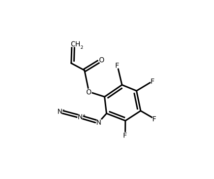 C=CC(=O)Oc1c(F)c(F)c(F)c(F)c1N=[N+]=[N-]